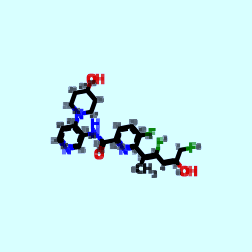 C/C(=C(F)\C=C(\O)CF)c1nc(C(=O)Nc2cnccc2N2CCC(O)CC2)ccc1F